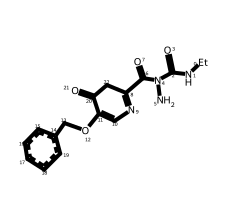 CCNC(=O)N(N)C(=O)C1=NC=C(OCc2ccccc2)C(=O)C1